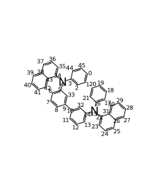 c1ccc(N(c2cccc(-c3cccc(N(c4ccccc4)c4cccc5ccccc45)c3)c2)c2cccc3ccccc23)cc1